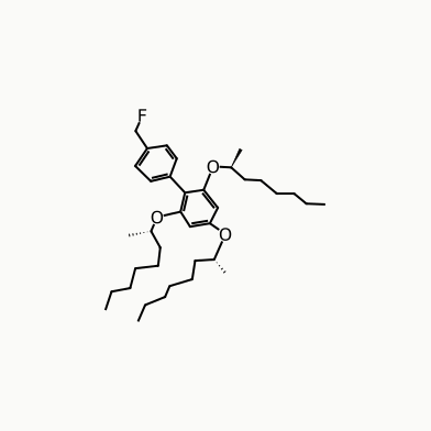 CCCCCC[C@@H](C)Oc1cc(O[C@@H](C)CCCCCC)c(-c2ccc(CF)cc2)c(O[C@@H](C)CCCCCC)c1